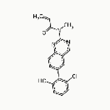 C=CC(=O)N(C)c1ncc2cc(-c3c(O)cccc3Cl)ccc2n1